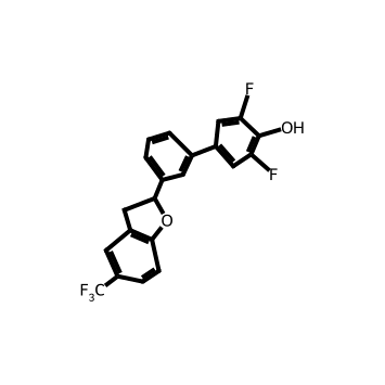 Oc1c(F)cc(-c2cccc(C3Cc4cc(C(F)(F)F)ccc4O3)c2)cc1F